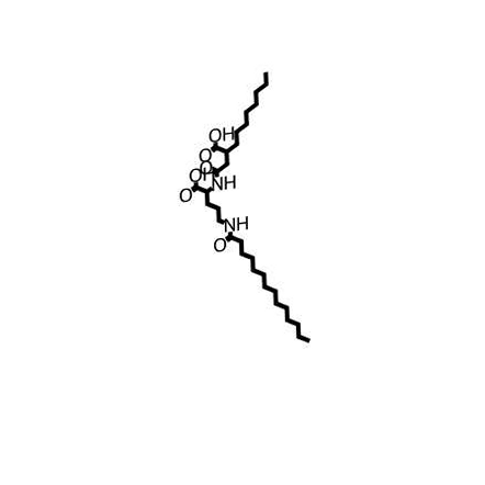 CCCCCCCCCCCCCC(=O)NCCCC(NC(=O)CC(CCCCCCCC)C(=O)O)C(=O)O